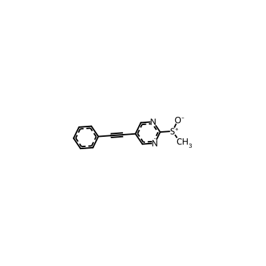 C[S+]([O-])c1ncc(C#Cc2ccccc2)cn1